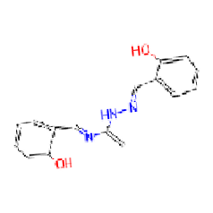 C=C(/N=C/c1ccccc1O)N/N=C/c1ccccc1O